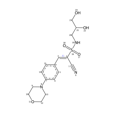 N#C/C(=C\c1ccc(N2CCOCC2)cc1)S(=O)(=O)NCC(O)CO